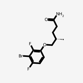 C[C@@H](CCC(N)=O)COc1ccc(F)c(Br)c1F